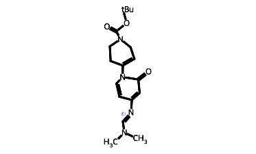 CN(C)/C=N/c1ccn(C2=CCN(C(=O)OC(C)(C)C)CC2)c(=O)c1